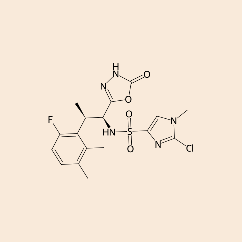 Cc1ccc(F)c([C@@H](C)[C@H](NS(=O)(=O)c2cn(C)c(Cl)n2)c2n[nH]c(=O)o2)c1C